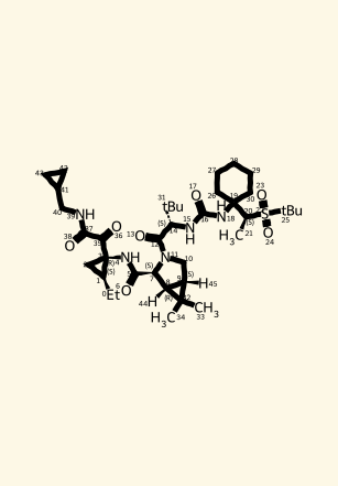 CC[C@H]1C[C@]1(NC(=O)[C@@H]1[C@@H]2[C@H](CN1C(=O)[C@@H](NC(=O)NC1([C@H](C)S(=O)(=O)C(C)(C)C)CCCCC1)C(C)(C)C)C2(C)C)C(=O)C(=O)NCC1CC1